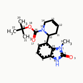 Cn1c(=O)[nH]c2cccc(C3CC=CCN3C(=O)OC(C)(C)C)c21